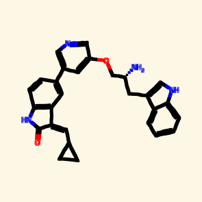 N[C@@H](COc1cncc(-c2ccc3c(c2)C(=CC2CC2)C(=O)N3)c1)Cc1c[nH]c2ccccc12